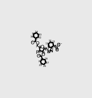 O=C(OC[C@H]1O[C@@H](n2nnc3c([N+](=O)[O-])cccc32)[C@H](OC(=O)c2ccccc2)[C@@H]1F)c1ccccc1